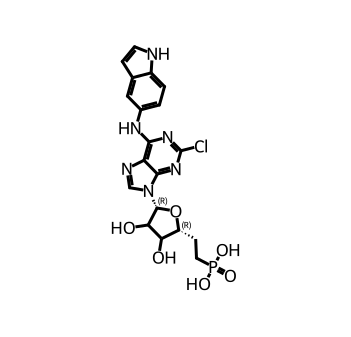 O=P(O)(O)CC[C@H]1O[C@@H](n2cnc3c(Nc4ccc5[nH]ccc5c4)nc(Cl)nc32)C(O)C1O